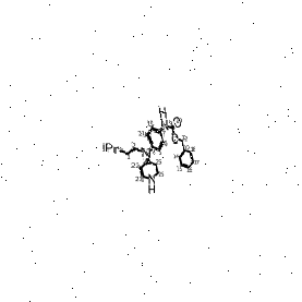 CC(C)CCN(c1ccc(NC(=O)OCc2ccccc2)cc1)C1CCNCC1